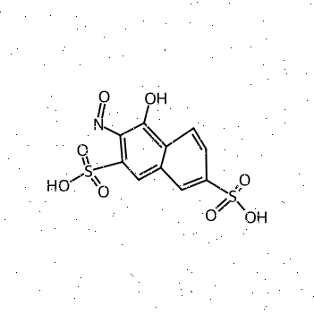 O=Nc1c(S(=O)(=O)O)cc2cc(S(=O)(=O)O)ccc2c1O